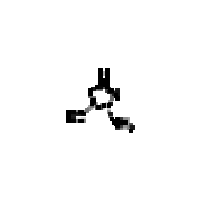 Nc1n[nH]cc1O